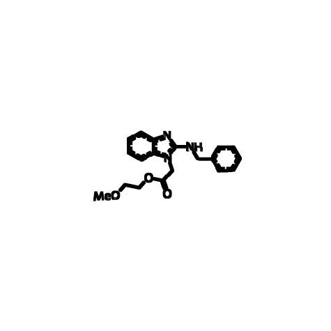 COCCOC(=O)Cn1c(NCc2ccccc2)nc2ccccc21